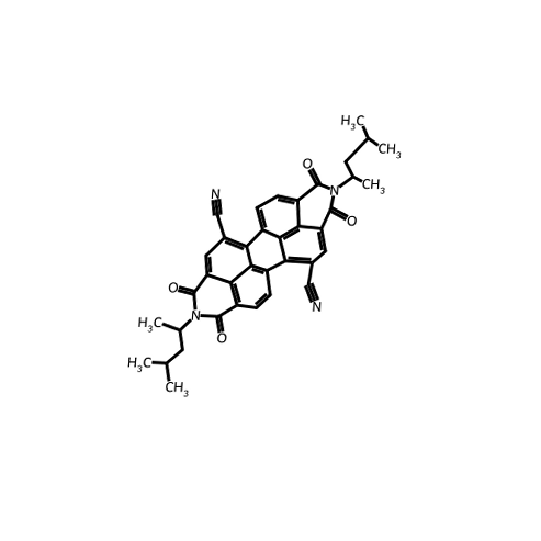 CC(C)CC(C)N1C(=O)c2ccc3c4c(C#N)cc5c6c(ccc(c7c(C#N)cc(c2c37)C1=O)c64)C(=O)N(C(C)CC(C)C)C5=O